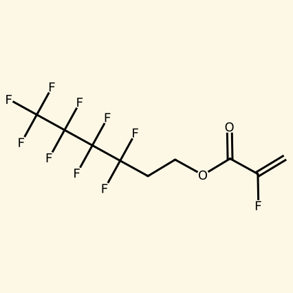 C=C(F)C(=O)OCCC(F)(F)C(F)(F)C(F)(F)C(F)(F)F